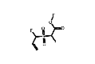 C=CC(F)S(=O)(=O)C(C)C(=O)OF